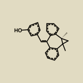 CC12C[C@]1(C)c1ccccc1/C(=C\c1cccc(O)c1)c1ccccc12